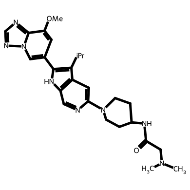 COc1cc(-c2[nH]c3cnc(N4CCC(NC(=O)CN(C)C)CC4)cc3c2C(C)C)cn2ncnc12